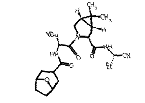 CC[C@@H](C#N)NC(=O)[C@@H]1[C@@H]2[C@H](CN1C(=O)[C@@H](NC(=O)C1CC3CCC(C1)O3)C(C)(C)C)C2(C)C